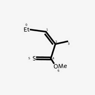 CCC=C(C)C(=S)OC